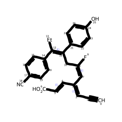 C#C/C=C(/C=C/C(=O)O)\C=C(\F)C/C(=C(/CC)c1ccc(C#N)cc1)c1ccc(O)cc1